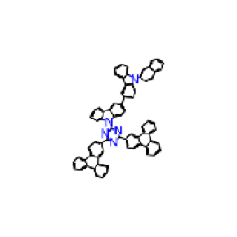 c1ccc2cc(-n3c4ccccc4c4cc(-c5ccc6c(c5)c5ccccc5n6-c5nc(-c6ccc7c8ccccc8c8ccccc8c7c6)nc(-c6ccc7c8ccccc8c8ccccc8c7c6)n5)ccc43)ccc2c1